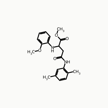 COC(=O)C(CC(=O)Nc1cc(C)ccc1C)Nc1ccccc1OC